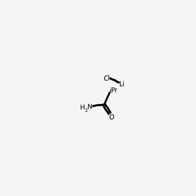 CC(C)C(N)=O.[Li][Cl]